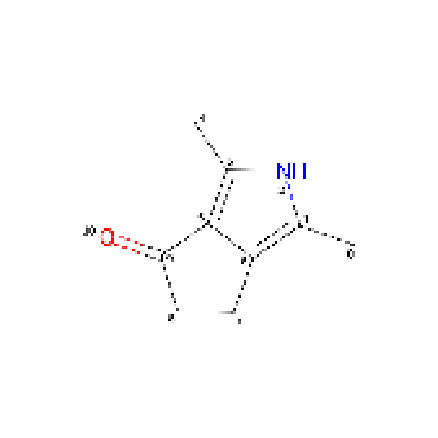 Cc1[nH]c(C)c2c1CCC2=O